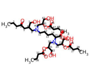 CCCC(=O)CC(CO)CN(CCCCC(C(=O)O)N(CC(CO)OC(=O)CCC)CC(CO)OC(=O)CCC)CC(CO)OC(=O)CCC